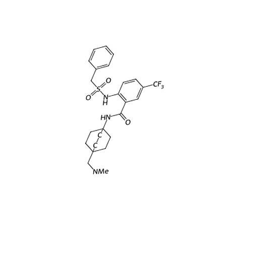 CNCC12CCC(NC(=O)c3cc(C(F)(F)F)ccc3NS(=O)(=O)Cc3ccccc3)(CC1)CC2